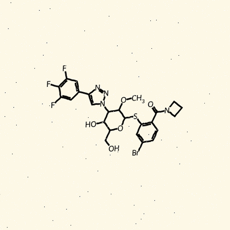 COC1C(Sc2cc(Br)ccc2C(=O)N2CCC2)OC(CO)C(O)C1n1cc(-c2cc(F)c(F)c(F)c2)nn1